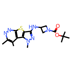 Cc1nnc2sc3c(NC4CN(C(=O)OC(C)(C)C)C4)nn(C)c3c2c1C